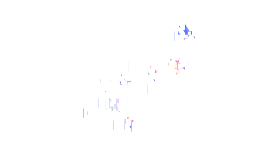 CCNC(=O)CC[C@H](NC(=O)CC[C@H](NC(=O)CCCNC(=O)CCCS(=O)(=O)NC(=O)CCCc1nnn[nH]1)C(=O)O)C(=O)O